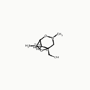 B[C@@H]1O[C@@]2(CO)CN(C)OC1[C@H]2O